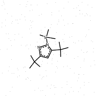 CC(C)(C)c1cc(C(C)(C)C)n([Si](C)(C)C)n1